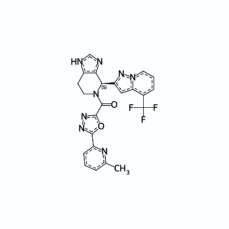 Cc1cccc(-c2nnc(C(=O)N3CCc4[nH]cnc4[C@H]3c3cc4c(C(F)(F)F)cccn4n3)o2)n1